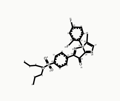 CCCN(CCC)S(=O)(=O)c1ccc(C2=N[N+]3(c4ccc(F)cc4F)C(C)=CN=C3C2=O)cc1